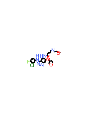 COCCN(C)CC=CC(=O)Nc1cc2c(Nc3ccc(F)c(Cl)c3)ncnc2cc1OC1CCOC1